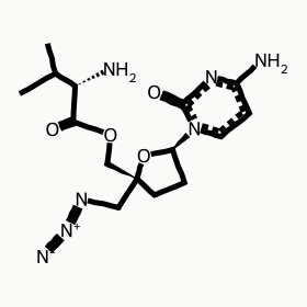 CC(C)[C@H](N)C(=O)OC[C@]1(CN=[N+]=[N-])CC[C@H](n2ccc(N)nc2=O)O1